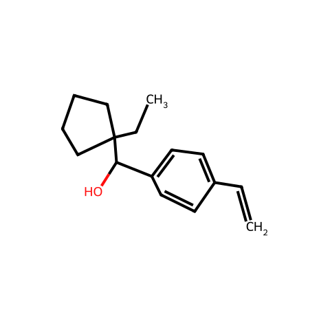 C=Cc1ccc(C(O)C2(CC)CCCC2)cc1